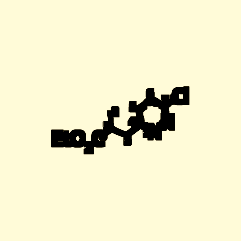 CCOC(=O)C(C)Cc1ccc(Cl)nn1